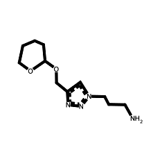 NCCCn1cc(COC2CCCCO2)nn1